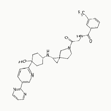 O=C(NCC(=O)N1CCC2(CC2NC2CCC(O)(c3ccc(-c4ncccn4)cn3)CC2)C1)c1cccc(C(F)(F)F)c1